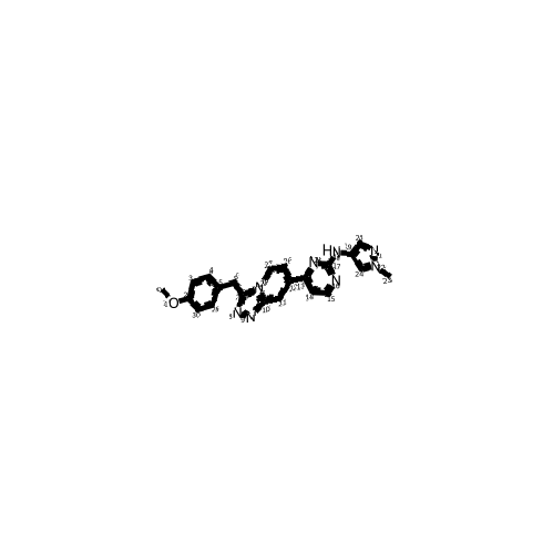 COc1ccc(Cc2nnc3cc(-c4ccnc(Nc5cnn(C)c5)n4)ccn23)cc1